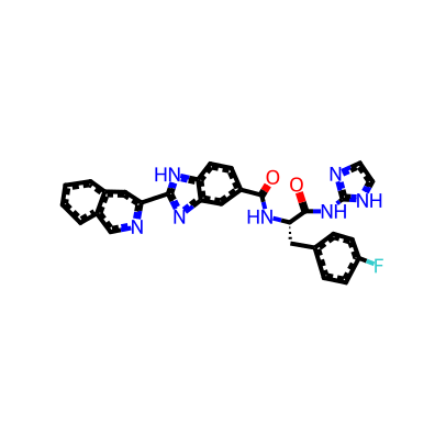 O=C(N[C@@H](Cc1ccc(F)cc1)C(=O)Nc1ncc[nH]1)c1ccc2[nH]c(-c3cc4ccccc4cn3)nc2c1